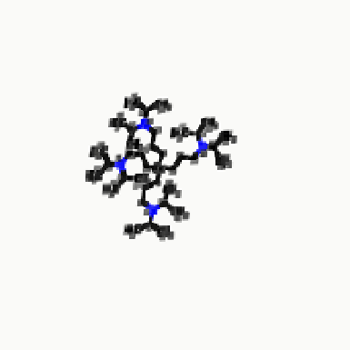 CC(C)N(CC[CH2][Ge]([CH2]CCN(C(C)C)C(C)C)([CH2]CCN(C(C)C)C(C)C)[CH2]CCN(C(C)C)C(C)C)C(C)C